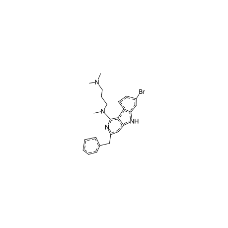 CN(C)CCCN(C)c1nc(Cc2ccccc2)cc2[nH]c3cc(Br)ccc3c12